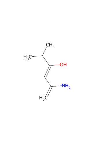 C=C(N)/C=C(\O)C(C)C